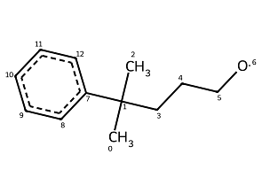 CC(C)(CCC[O])c1ccccc1